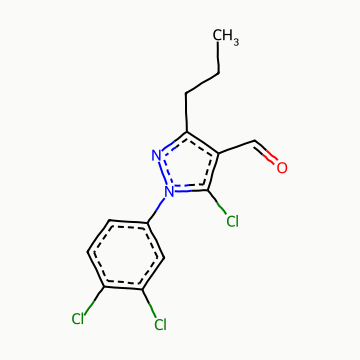 CCCc1nn(-c2ccc(Cl)c(Cl)c2)c(Cl)c1C=O